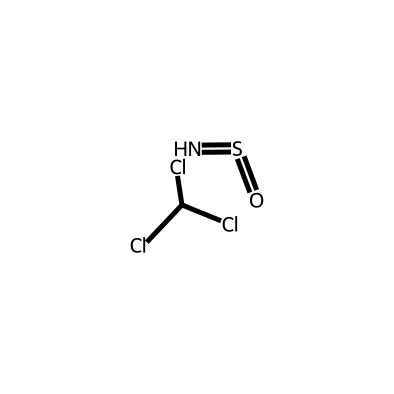 ClC(Cl)Cl.N=S=O